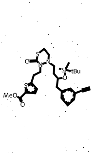 C#Cc1cccc(CC(CCN2CCSC(=O)N2CCc2ccc(C(=O)OC)s2)O[Si](C)(C)C(C)(C)C)c1